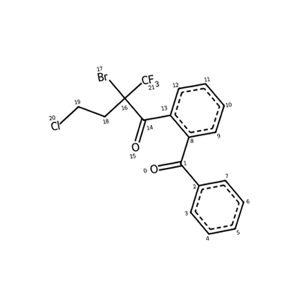 O=C(c1ccccc1)c1ccccc1C(=O)C(Br)(CCCl)C(F)(F)F